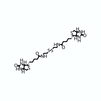 O=C(CCCC[C@@H]1SC[C@@H]2NC(=O)N[C@@H]21)NCCSSCCNC(=O)CCCC[C@@H]1SC[C@@H]2NC(=O)N[C@@H]21